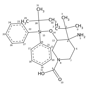 CC(C)(C)C1(N)CCN(C(=O)O)CC1O[Si](c1ccccc1)(c1ccccc1)C(C)(C)C